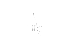 NCCCCC(NC(=O)O)C(=O)NC1CCSSC1